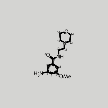 COc1cc(N)cc(C(=O)NCCN2CCOCC2)c1